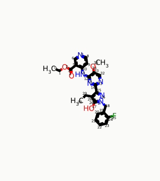 CCOC(=O)c1cnccc1Nc1nc(-c2nn(Cc3ccccc3F)c(O)c2CC)ncc1OC